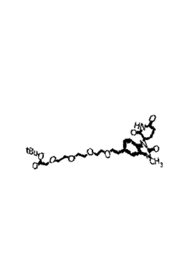 Cn1c(=O)n(C2CCC(=O)NC2=O)c2ccc(CCOCCOCCOCCOCC(=O)OC(C)(C)C)cc21